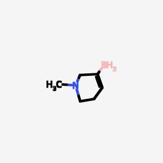 BC1=CCCN(C)C1